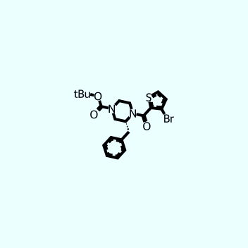 CC(C)(C)OC(=O)N1CCN(C(=O)c2sccc2Br)[C@H](Cc2ccccc2)C1